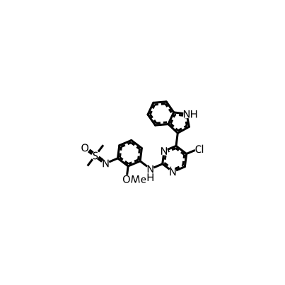 COc1c(N=S(C)(C)=O)cccc1Nc1ncc(Cl)c(-c2c[nH]c3ccccc23)n1